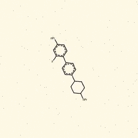 CCCc1ccc(-c2ccc(C3CCC(CCC)CC3)cc2)c(F)c1